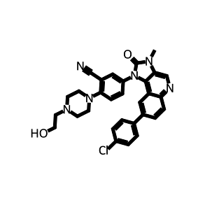 Cn1c(=O)n(-c2ccc(N3CCN(CCO)CC3)c(C#N)c2)c2c3cc(-c4ccc(Cl)cc4)ccc3ncc21